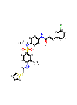 O=CN(c1ccc(NC(=O)C=Cc2cccc(Cl)c2)cc1)S(=O)(=O)c1ccc(NCC[SH]2C=CC=C2)c([N+](=O)[O-])c1